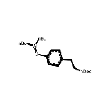 CCCCCCCCCCCCc1ccc([O][Al]([CH2]CCC)[CH2]CCC)cc1